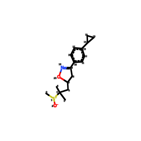 C[S+]([O-])C(C)(C)CC1CC(c2ccc(C3CC3)cc2)=NO1